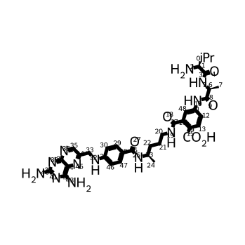 CC(C)[C@H](N)C(=O)N[C@@H](C)C(=O)Nc1ccc(C(=O)O)c(C(=O)NCCC[C@@H](C)NC(=O)c2ccc(NCc3cnc4nc(N)nc(N)c4n3)cc2)c1